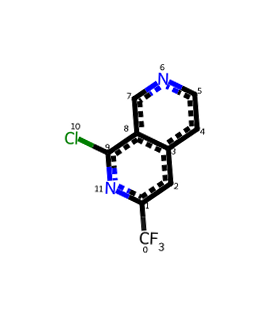 FC(F)(F)c1cc2ccncc2c(Cl)n1